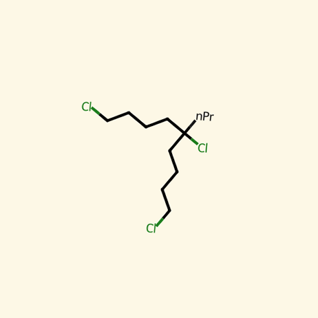 [CH2]CCC(Cl)(CCCCCl)CCCCCl